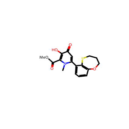 COC(=O)c1c(O)c(=O)cc(-c2cccc3c2SCCCO3)n1C